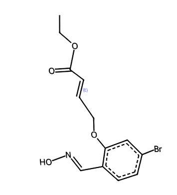 CCOC(=O)/C=C/COc1cc(Br)ccc1C=NO